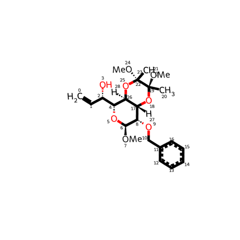 C=C[C@H](O)[C@H]1O[C@H](OC)[C@@H](OCc2ccccc2)[C@H]2O[C@](C)(OC)[C@@](C)(OC)O[C@@H]21